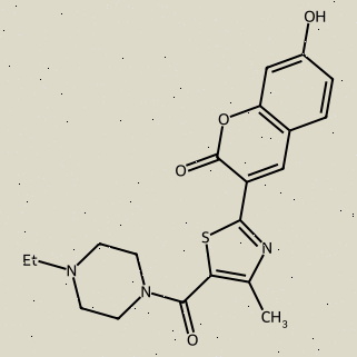 CCN1CCN(C(=O)c2sc(-c3cc4ccc(O)cc4oc3=O)nc2C)CC1